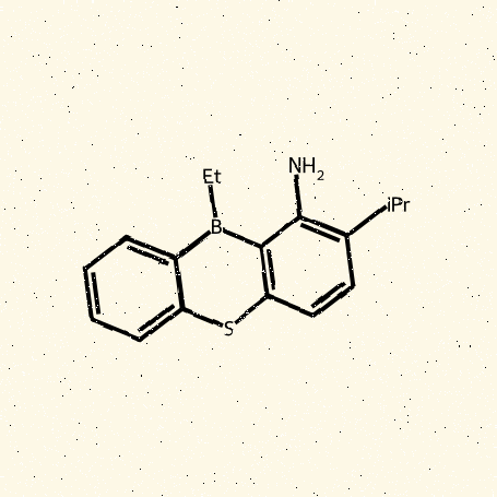 CCB1c2ccccc2Sc2ccc(C(C)C)c(N)c21